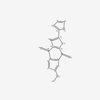 COc1ccc2c(c1)C(=O)c1sc(-c3ccco3)nc1C2=O